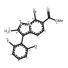 COC(=O)c1ccc2c(-c3c(F)cccc3Cl)c(C)nn2c1Br